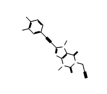 C#CCn1c(=O)c2c(nc(C#Cc3ccc(Cl)c(Cl)c3)n2C)n(C)c1=O